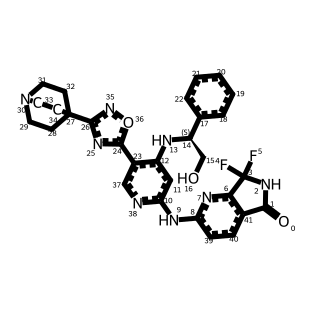 O=C1NC(F)(F)c2nc(Nc3cc(N[C@H](CO)c4ccccc4)c(-c4nc(C56CCN(CC5)CC6)no4)cn3)ccc21